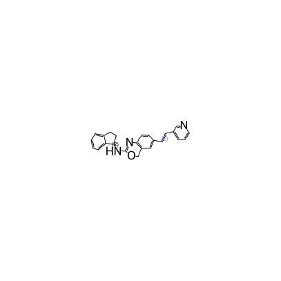 C(=C\c1ccc2c(c1)COC(N[C@@H]1CCc3ccccc31)=N2)/c1cccnc1